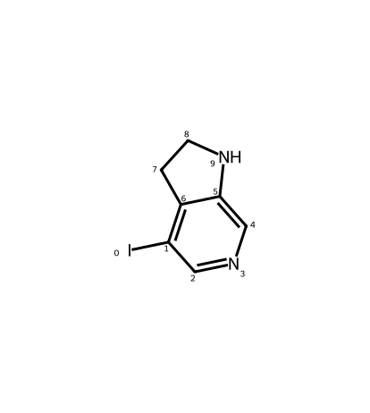 Ic1cncc2c1CCN2